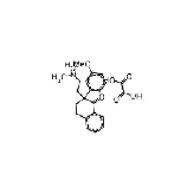 COc1cccc(C2(CCN(C)C)CCc3ccccc3C2=O)c1.O=C(O)C(=O)O